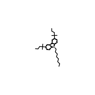 CCCCCCCCn1c2ccc(C(C)(C)CCC)cc2c2cc(C(C)(C)CCC)ccc21